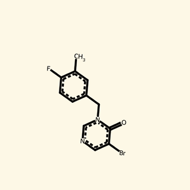 Cc1cc(Cn2cncc(Br)c2=O)ccc1F